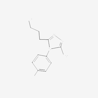 CSc1nnc(CCCO)n1-c1ccc(C(F)(F)F)cc1